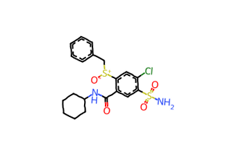 NS(=O)(=O)c1cc(C(=O)NC2CCCCC2)c([S+]([O-])Cc2ccccc2)cc1Cl